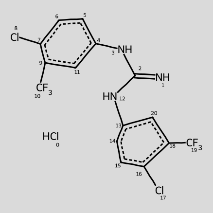 Cl.N=C(Nc1ccc(Cl)c(C(F)(F)F)c1)Nc1ccc(Cl)c(C(F)(F)F)c1